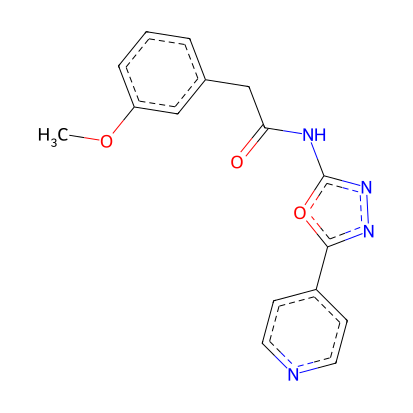 COc1cccc(CC(=O)Nc2nnc(-c3ccncc3)o2)c1